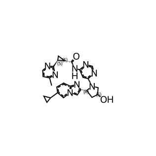 Cc1ccnc([C@H]2C[C@@H]2C(=O)Nc2cc(N3C[C@@H](O)C[C@@H]3c3cn4cc(C5CC5)ccc4n3)ncn2)n1